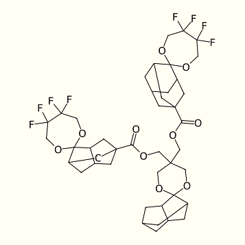 O=C(OCC1(COC(=O)C23CC4CC(C2)C2(OCC(F)(F)C(F)(F)CO2)C4C3)COC2(OC1)C1CC3CC(C1)C2C3)C12CC3CC(C1)C1(OCC(F)(F)C(F)(F)CO1)C(C3)C2